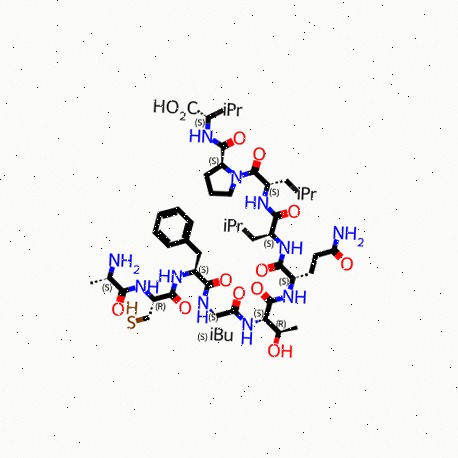 CC[C@H](C)[C@H](NC(=O)[C@H](Cc1ccccc1)NC(=O)[C@H](CS)NC(=O)[C@H](C)N)C(=O)N[C@H](C(=O)N[C@@H](CCC(N)=O)C(=O)N[C@@H](CC(C)C)C(=O)N[C@@H](CC(C)C)C(=O)N1CCC[C@H]1C(=O)N[C@H](C(=O)O)C(C)C)[C@@H](C)O